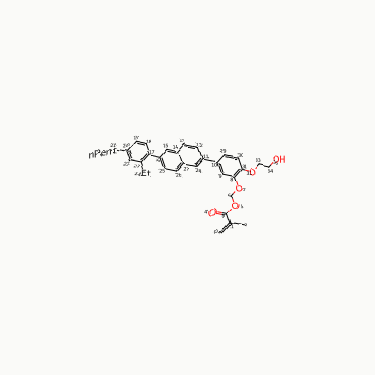 C=C(C)C(=O)OCOc1cc(-c2ccc3cc(-c4ccc(CCCCC)cc4CC)ccc3c2)ccc1OCCO